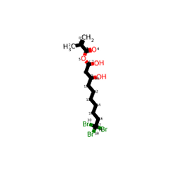 C=C(C)C(=O)OC(O)CC(O)CCCCCCC(Br)(Br)Br